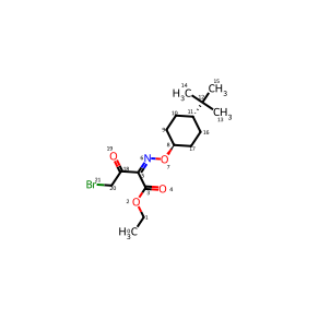 CCOC(=O)/C(=N\O[C@H]1CC[C@H](C(C)(C)C)CC1)C(=O)CBr